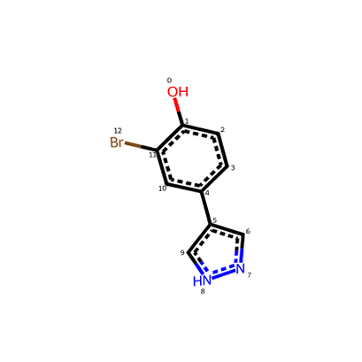 Oc1ccc(-c2cn[nH]c2)cc1Br